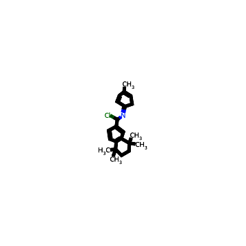 CC1=CCC(=NC(Cl)c2ccc3c(c2)C(C)(C)CCC3(C)C)C=C1